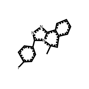 Cc1cc2ccccc2c2nnc(-c3ccc(I)cc3)n12